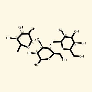 CC1O[C@@H](O[C@@H]2[C@H](O)C(O)SC(CO)[C@H]2OC2OC(CO)[C@H](O)C(O)[C@@H]2O)C(O)[C@@H](O)[C@@H]1O